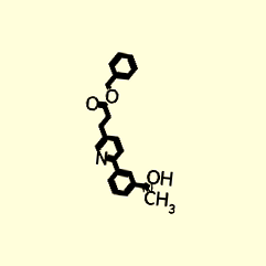 C[C@@H](O)c1cccc(-c2ccc(CCC(=O)OCc3ccccc3)cn2)c1